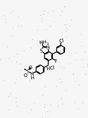 CS(=O)(=O)Nc1ccc(Cc2cc3sc(N)nc3c(-c3cccc(Cl)c3)c2F)cc1.Cl